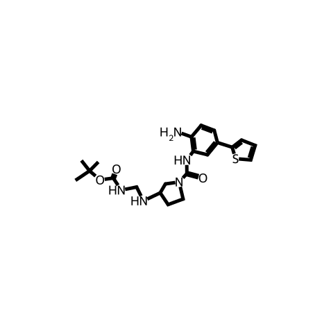 CC(C)(C)OC(=O)NCNC1CCN(C(=O)Nc2cc(-c3cccs3)ccc2N)C1